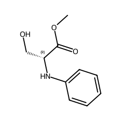 COC(=O)[C@@H](CO)Nc1ccccc1